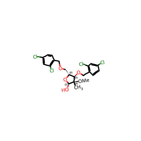 CO[C@]1(C)[C@H](OCc2ccc(Cl)cc2Cl)[C@@H](COCc2ccc(Cl)cc2Cl)O[C@@H]1O